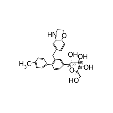 Cc1ccc(-c2ccc([C@@H]3O[C@H](CO)[C@@H](O)[C@H](O)[C@H]3O)cc2Cc2ccc3c(c2)NCCO3)cc1